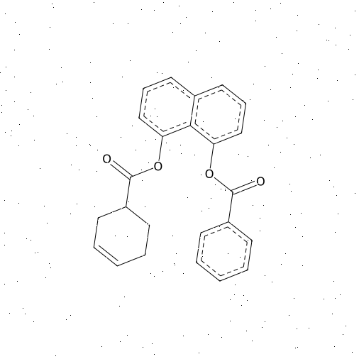 O=C(Oc1cccc2cccc(OC(=O)C3CC=CCC3)c12)c1ccccc1